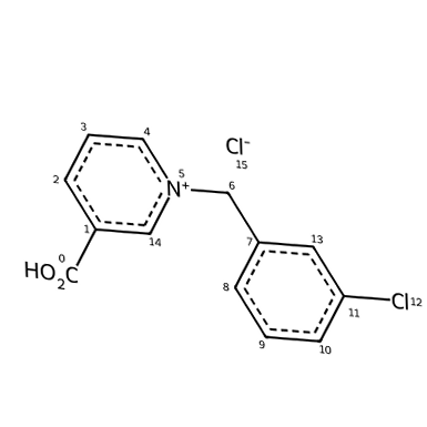 O=C(O)c1ccc[n+](Cc2cccc(Cl)c2)c1.[Cl-]